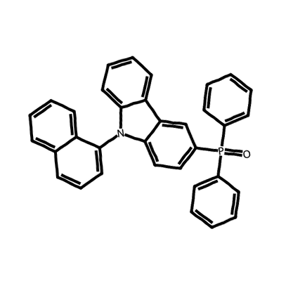 O=P(c1ccccc1)(c1ccccc1)c1ccc2c(c1)c1ccccc1n2-c1cccc2ccccc12